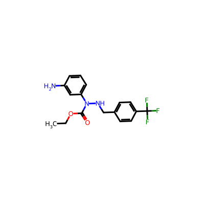 CCOC(=O)N(NCc1ccc(C(F)(F)F)cc1)c1cccc(N)c1